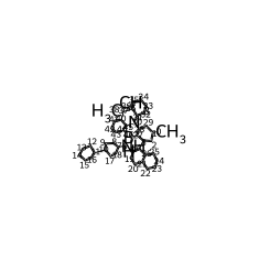 Cc1cc(-c2c(Nc3ccc(-c4ccccc4)cc3)ccc3ccccc23)c2c(c1)N1c3ccccc3C(C)(C)c3cccc(c31)B2